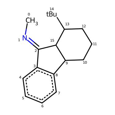 CN=C1c2ccccc2C2CCCC(C(C)(C)C)C12